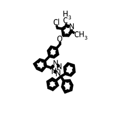 Cc1cc(OCc2ccc(-c3ccccc3-c3nnn(C(c4ccccc4)(c4ccccc4)c4ccccc4)n3)cc2)c(CCl)c(C)n1